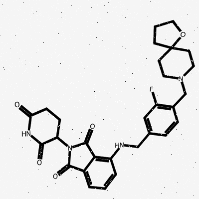 O=C1CCC(N2C(=O)c3cccc(NCc4ccc(CN5CCC6(CCCO6)CC5)c(F)c4)c3C2=O)C(=O)N1